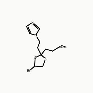 CCCCCCCCCCCCC1(CCn2ccnc2)SCC(CC)S1